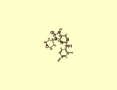 Cc1cc(F)ccc1Nc1ncc2c(n1)n(C1CCOCC1)c(=O)n2C